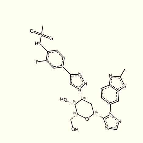 Cc1nc2ccc(-n3ncnc3[C@H]3C[C@@H](n4cc(-c5ccc(NS(C)(=O)=O)c(F)c5)nn4)[C@@H](O)[C@@H](CO)O3)cc2s1